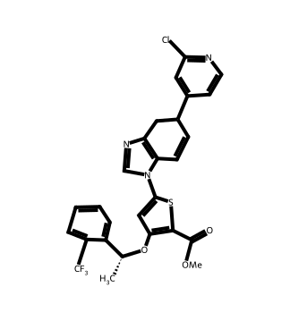 COC(=O)c1sc(-n2cnc3c2C=CC(c2ccnc(Cl)c2)C3)cc1O[C@H](C)c1ccccc1C(F)(F)F